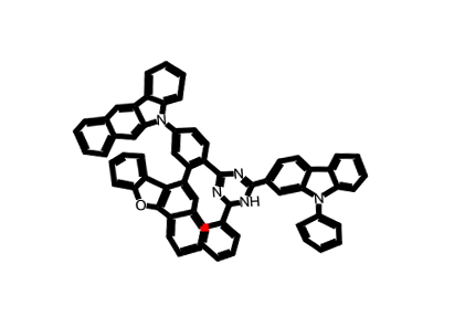 c1ccc(C2N=C(c3ccc(-n4c5ccccc5c5cc6ccccc6cc54)cc3-c3cc4ccccc4c4oc5ccccc5c34)N=C(c3ccc4c5ccccc5n(-c5ccccc5)c4c3)N2)cc1